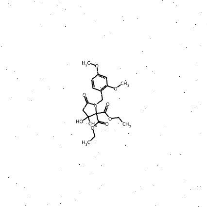 CCOC(=O)C1(C(=O)OCC)N(Cc2ccc(OC)cc2OC)C(=O)CC1(C)O